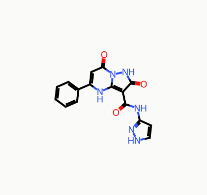 O=C(Nc1cc[nH]n1)c1c(=O)[nH]n2c(=O)cc(-c3ccccc3)[nH]c12